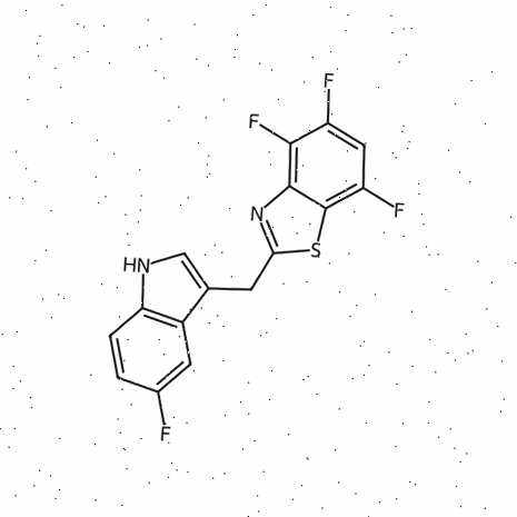 Fc1ccc2[nH]cc(Cc3nc4c(F)c(F)cc(F)c4s3)c2c1